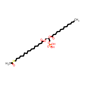 CCCCCCCCCCCCCC(=O)O[C@H](COC(=O)CCCCCCCCCCCCCCCSC(C)=O)COP(=O)(O)O